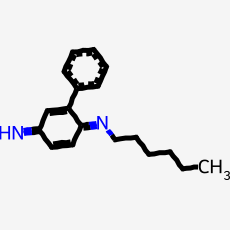 CCCCCCN=C1C=CC(=N)C=C1c1ccccc1